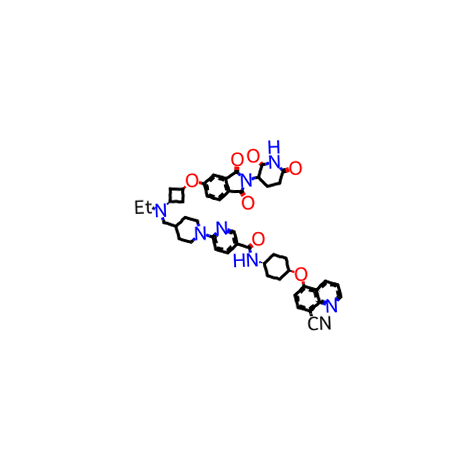 CCN(CC1CCN(c2ccc(C(=O)N[C@H]3CC[C@H](Oc4ccc(C#N)c5ncccc45)CC3)cn2)CC1)[C@H]1C[C@H](Oc2ccc3c(c2)C(=O)N(C2CCC(=O)NC2=O)C3=O)C1